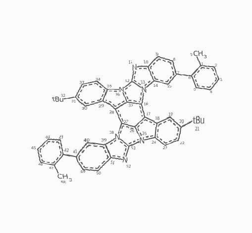 Cc1ccccc1-c1ccc2nc3n(c2c1)c1c2c4cc(C(C)(C)C)ccc4n4c2c(c2c5cc(C(C)(C)C)ccc5n3c21)n1c2cc(-c3ccccc3C)ccc2nc14